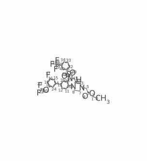 CCOC(=O)CN1CCN2c3ccc(-c4cc(F)cc(OC(F)F)c4)cc3N(S(=O)(=O)c3cccc(C(F)(F)F)c3)C[C@@H]2C1